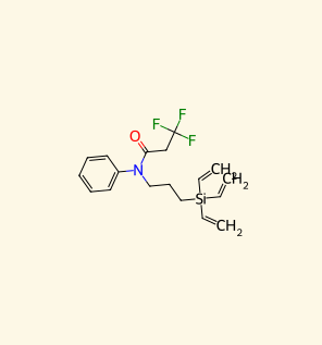 C=C[Si](C=C)(C=C)CCCN(C(=O)CC(F)(F)F)c1ccccc1